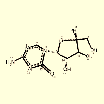 [2H][C@]1(CO)O[C@@H](n2cnc(N)nc2=O)[C@@H](O)C1O